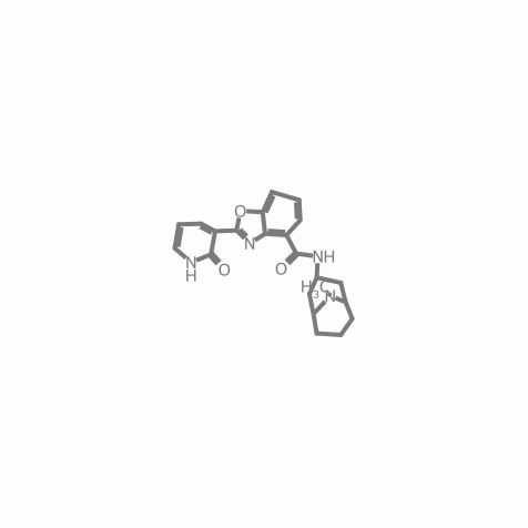 CN1C2CCCC1CC(NC(=O)c1cccc3oc(-c4ccc[nH]c4=O)nc13)C2